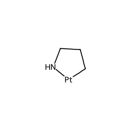 C1C[NH][Pt][CH2]1